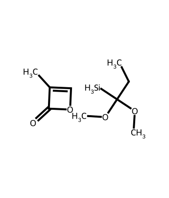 CC1=COC1=O.CCC([SiH3])(OC)OC